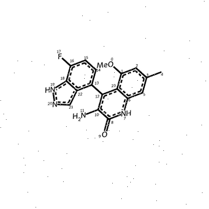 COc1cc(C)cc2[nH]c(=O)c(N)c(-c3ccc(F)c4[nH]ncc34)c12